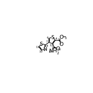 COC(=O)c1scc(-c2nccs2)c1C(N)=O